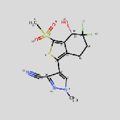 Cn1cc(-c2sc(S(C)(=O)=O)c3c2CCC(F)(F)[C@H]3O)c(C#N)n1